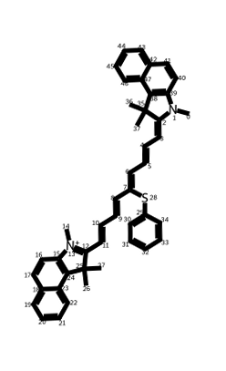 CN1/C(=C/C=C/C=C(/C=C/C=C/C2=[N+](C)c3ccc4ccccc4c3C2(C)C)Sc2ccccc2)C(C)(C)c2c1ccc1ccccc21